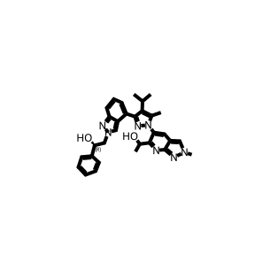 Cc1c(C(C)C)c(-c2cccc3nn(C[C@H](O)c4ccccc4)cc23)nn1-c1cc2cn(C)nc2nc1C(C)O